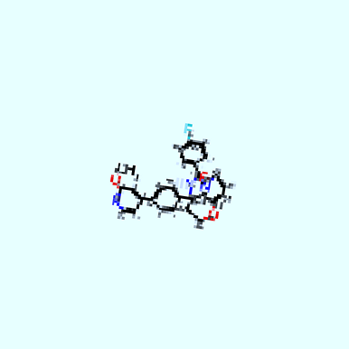 COc1cc(-c2ccc(C3(NC(=O)c4ccc(F)cc4)CCOc4cccnc43)cc2)ccn1